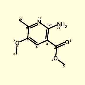 COC(=O)c1cc(OC)c(C)nc1N